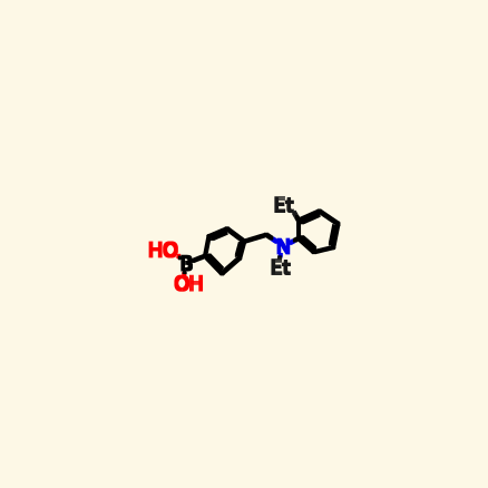 CCc1ccccc1N(CC)Cc1ccc(B(O)O)cc1